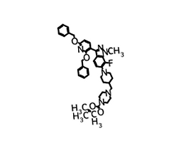 Cn1nc(-c2ccc(OCc3ccccc3)nc2OCc2ccccc2)c2ccc(N3CCC(CN4CCN(C(=O)OC(C)(C)C)CC4)CC3)c(F)c21